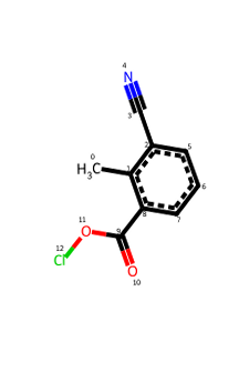 Cc1c(C#N)cccc1C(=O)OCl